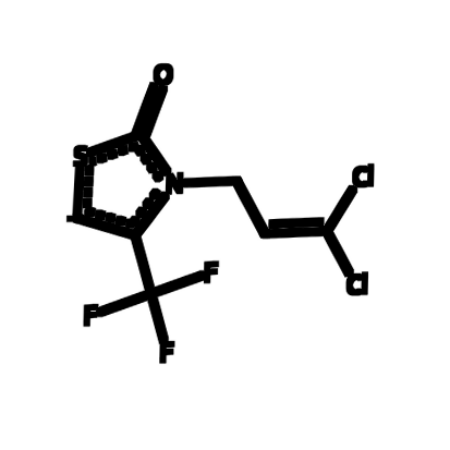 O=c1s[c]c(C(F)(F)F)n1CC=C(Cl)Cl